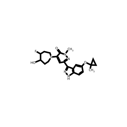 Cn1nc(-c2n[nH]c3ccc(OC4(C)CC4)cc23)cc(N2CCC(O)C(F)CC2)c1=O